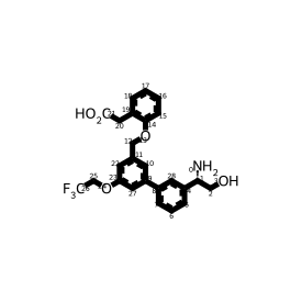 N[C@H](CO)c1cccc(-c2cc(COc3ccccc3CC(=O)O)cc(OCC(F)(F)F)c2)c1